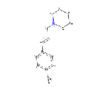 CC(C)c1ccc(/C=C/CN2CCCCC2)cc1